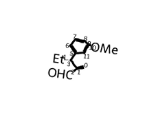 C=C(C=O)[C@H](CC)c1cccc(OC)c1